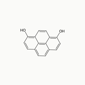 Oc1ccc2ccc3ccc(O)c4ccc1c2c34